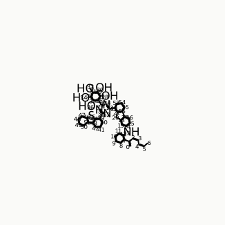 C=C(/C=C\C=C/C)c1ccccc1Nc1ccc2c(c1)Cc1c(-c3nc(-c4c(O)c(O)c(O)c(O)c4O)nc(-c4cccc5c4sc4ccccc45)n3)cccc1-2